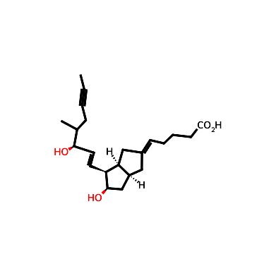 CC#CCC(C)[C@H](O)C=C[C@H]1[C@H]2CC(=CCCCC(=O)O)C[C@H]2C[C@H]1O